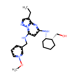 CCc1cnn2c(NCc3ccc[n+](OC)c3)cc(N[C@H]3CCCC[C@H]3CO)nc12